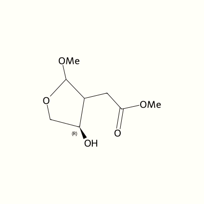 COC(=O)CC1C(OC)OC[C@@H]1O